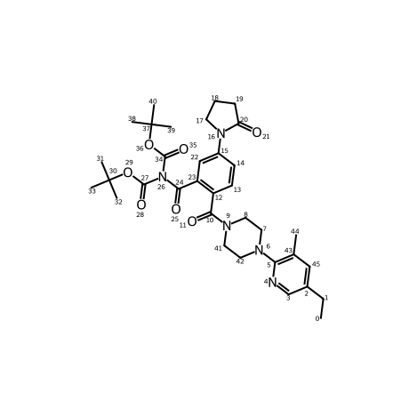 CCc1cnc(N2CCN(C(=O)c3ccc(N4CCCC4=O)cc3C(=O)N(C(=O)OC(C)(C)C)C(=O)OC(C)(C)C)CC2)c(C)c1